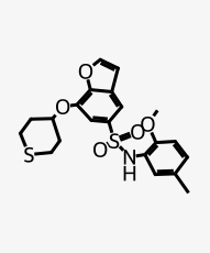 COc1ccc(C)cc1NS(=O)(=O)c1cc(OC2CCSCC2)c2occc2c1